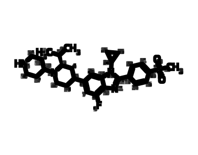 CC(C)[C@H]1CC(c2cc(F)c3nc(-c4ccc(S(C)(=O)=O)cc4)n(C4CC4)c3c2)CCN1C1CCNCC1